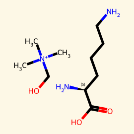 C[N+](C)(C)CO.NCCCC[C@H](N)C(=O)O